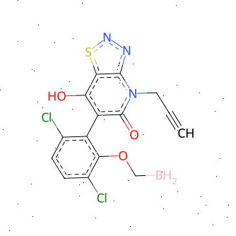 BCOc1c(Cl)ccc(Cl)c1-c1c(O)c2snnc2n(CC#C)c1=O